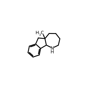 CC12CCCCNC1c1ccccc1C2